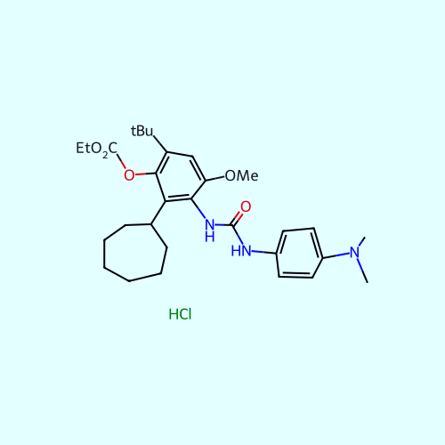 CCOC(=O)Oc1c(C(C)(C)C)cc(OC)c(NC(=O)Nc2ccc(N(C)C)cc2)c1C1CCCCCC1.Cl